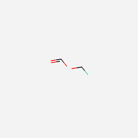 O=[C]OCF